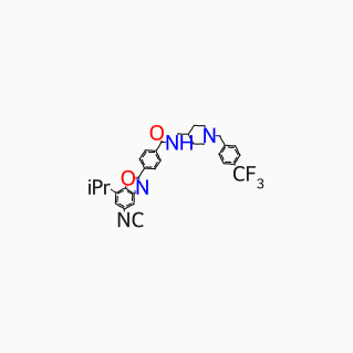 [C-]#[N+]c1cc(C(C)C)c2oc(-c3ccc(C(=O)NCC4CCN(Cc5ccc(C(F)(F)F)cc5)CC4)cc3)nc2c1